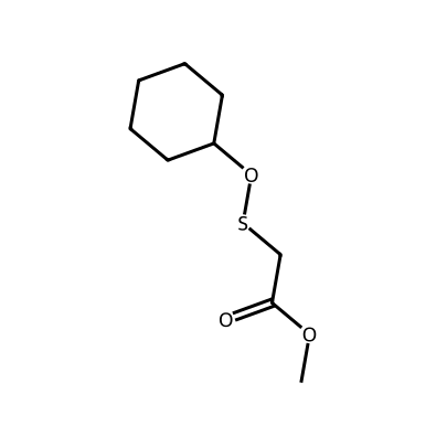 COC(=O)CSOC1CCCCC1